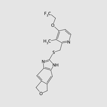 Cc1c(OCC(F)(F)F)ccnc1CSc1nc2cc3c(cc2[nH]1)COC3